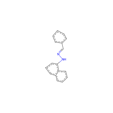 C(=NNc1cccc2ccccc12)c1ccccc1